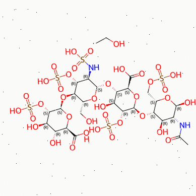 CC(=O)N[C@@H]1[C@@H](O)[C@H](O[C@@H]2O[C@H](C(=O)O)[C@@H](O[C@@H]3O[C@H](CO)[C@@H](O[C@H]4O[C@@H](C(=O)O)[C@H](O)[C@@H](O)[C@@H]4OS(=O)(=O)O)[C@H](OS(=O)(=O)O)[C@H]3NS(=O)(=O)O)[C@H](O)[C@H]2OS(=O)(=O)O)[C@H](COS(=O)(=O)O)O[C@H]1O.[CH2]CO